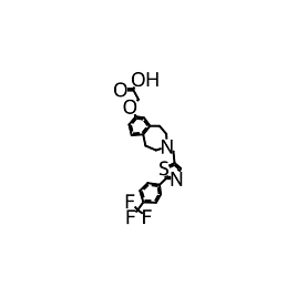 O=C(O)COc1ccc2c(c1)CCN(Cc1cnc(-c3ccc(C(F)(F)F)cc3)s1)CC2